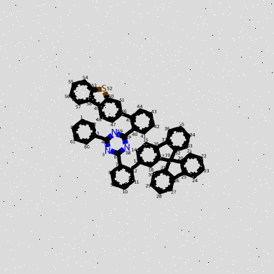 c1ccc(-c2nc(-c3ccccc3-c3ccc4c(c3)C3(c5ccccc5-c5ccccc53)c3ccccc3-4)nc(-c3ccccc3-c3ccc4c(c3)sc3ccccc34)n2)cc1